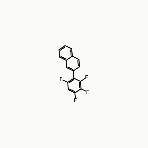 Fc1cc(F)c(-c2ccc3ccccc3c2)c(F)c1F